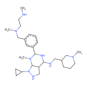 CNCCN(C)Cc1cccc(C2NC(NCC3CCCN(C)C3)C3CNN(C4CC4)C3N2C)c1